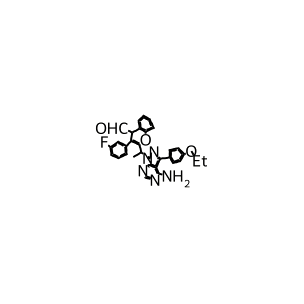 CCOc1ccc(-c2nn(C(C)C3=C(c4cccc(F)c4)C(C=O)c4ccccc4O3)c3ncnc(N)c23)cc1